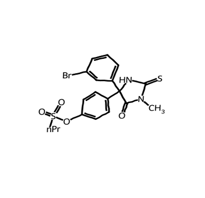 CCCS(=O)(=O)Oc1ccc(C2(c3cccc(Br)c3)NC(=S)N(C)C2=O)cc1